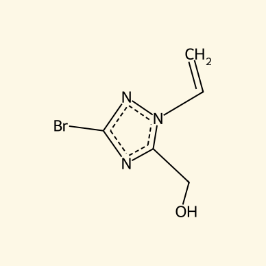 C=Cn1nc(Br)nc1CO